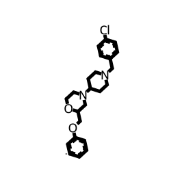 Clc1ccc(CN2CCC(N3CCOC(COc4c[c]ccc4)C3)CC2)cc1